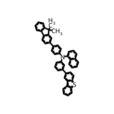 CC1(C)c2ccccc2-c2ccc(-c3ccc(N(c4cccc(-c5ccc6sc7ccccc7c6c5)c4)c4cccc5ccccc45)cc3)cc21